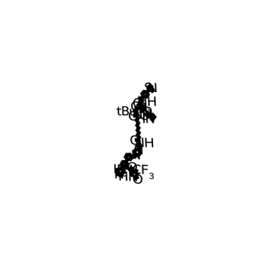 Cc1ncsc1-c1ccc([C@H](C)NC(=O)[C@@H]2C[C@@H](OC(=O)[C@@H]3CCCN3)CN2C(=O)[C@@H](NC(=O)CCCCCCCCCC(=O)NCCN2CCN(Cc3cccc(-c4ccc(N5CCN(C)CC5)c(NC(=O)c5c[nH]c(=O)cc5C(F)(F)F)c4)c3)CC2)C(C)(C)C)cc1